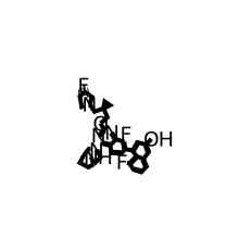 Oc1cc(-c2ccc3c(N4CC5CCC(C4)N5)nc(OCC4(CN5CC[C@@H](F)C5)CC4)nc3c2F)c2c(F)cccc2c1